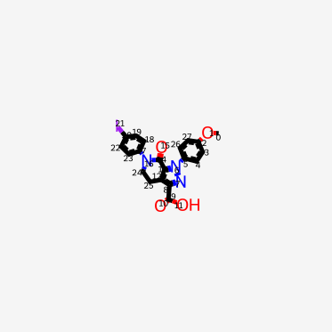 COc1ccc(-n2nc(C(=O)O)c3c2C(=O)N(c2ccc(I)cc2)CC3)cc1